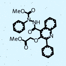 COC(=O)COc1c(-c2ccccc2)nc2ccccc2c1C(=O)NN(C(=O)OC)c1ccccc1